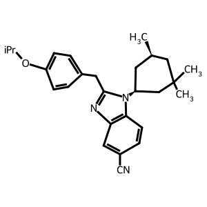 CC(C)Oc1ccc(Cc2nc3cc(C#N)ccc3n2[C@H]2C[C@@H](C)CC(C)(C)C2)cc1